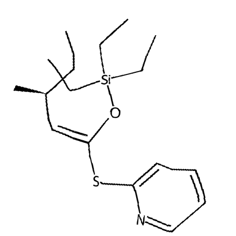 CC[C@H](C)/C=C(\O[Si](CC)(CC)CC)Sc1ccccn1